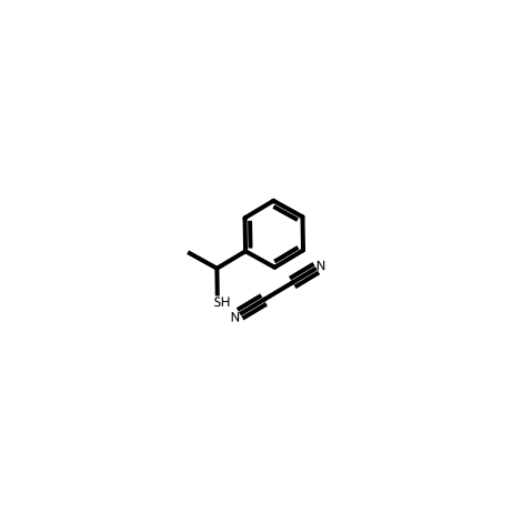 CC(S)c1ccccc1.N#CC#N